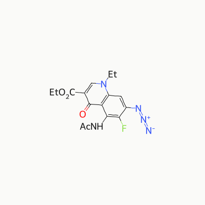 CCOC(=O)c1cn(CC)c2cc(N=[N+]=[N-])c(F)c(NC(C)=O)c2c1=O